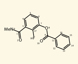 CNC(=O)c1cccc(OC(=O)c2ccccc2)c1F